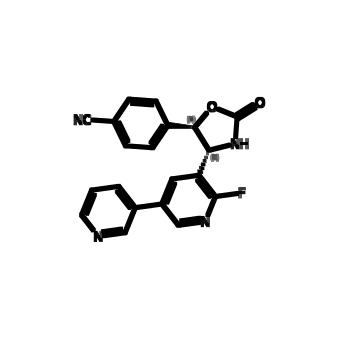 N#Cc1ccc([C@H]2OC(=O)N[C@@H]2c2cc(-c3cccnc3)cnc2F)cc1